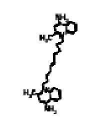 Cc1cc(N)c2ccccc2[n+]1CCCCC=CCCCC[n+]1c(C)cc(N)c2ccccc21